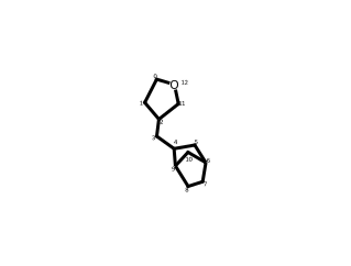 C1CC(CC2CC3CCC2C3)CO1